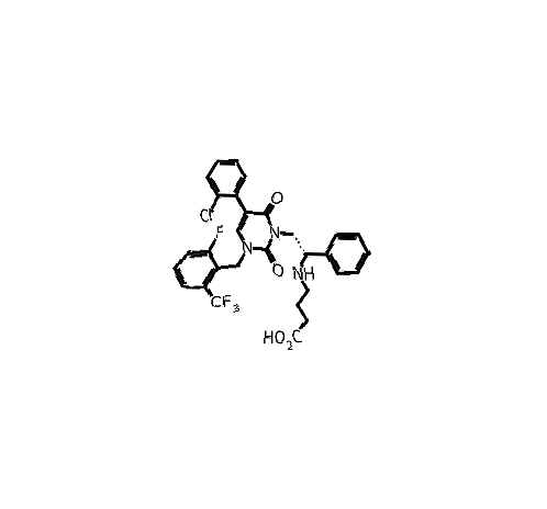 O=C(O)CCCN[C@H](Cn1c(=O)c(-c2ccccc2Cl)cn(Cc2c(F)cccc2C(F)(F)F)c1=O)c1ccccc1